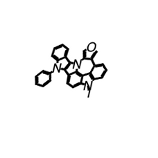 In1c2cccc3c4cocc4n4c5c(ccc1c5c32)c1c4c2ccccc2n1-c1ccccc1